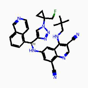 CC(C)(C)CNc1c(C#N)cnc2c(C#N)cc(N[C@H](c3cn(C4(CF)CC4)nn3)c3cccc4cnccc34)cc12